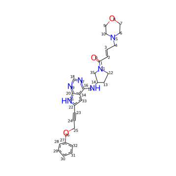 O=C(C=CCN1CCOCC1)N1CCC(Nc2ncnc3[nH]c(C#CCOc4ccccc4)cc23)C1